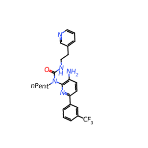 CCCCCN(C(=O)NCCc1cccnc1)c1nc(-c2cccc(C(F)(F)F)c2)ccc1N